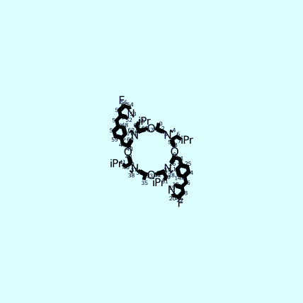 CC1=CN(C)C(CC(C)C)=COC(Cc2ccc(Cc3cncc(F)c3)cc2)=CN(C)C(CC(C)C)=COC(C)=CN(C)C(CC(C)C)=COC(Cc2ccc(Cc3cncc(F)c3)cc2)=CN(C)C(CC(C)C)=CO1